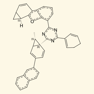 C[C@H]1C2C=C(c3ccc4ccccc4c3)C=C[C@@]21c1nc(C2=CCCC=C2)nc(-c2cccc3c4c(oc23)[C@H]2CC2C=C4)n1